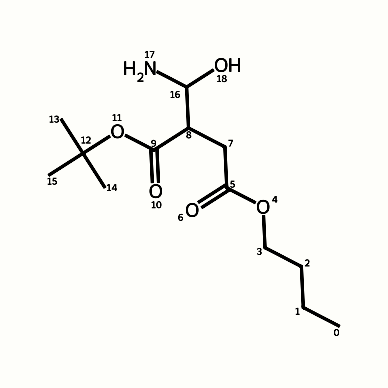 CCCCOC(=O)CC(C(=O)OC(C)(C)C)C(N)O